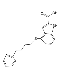 O=C(O)c1cc2c(SCCCCc3ccccc3)cccc2[nH]1